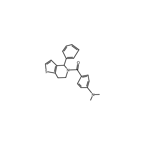 CN(C)c1ccc(C(=O)N2CCc3sccc3C2c2ccccc2)cc1